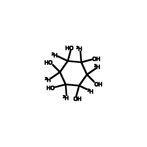 [2H]C1(O)C([2H])(O)C([2H])(O)C([2H])(O)C([2H])(O)C1([2H])O